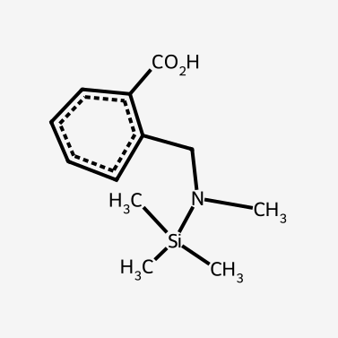 CN(Cc1ccccc1C(=O)O)[Si](C)(C)C